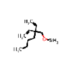 C=CC(C=C)(CCCC)CO[SiH3]